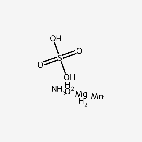 N.O.O=S(=O)(O)O.[MgH2].[Mn]